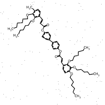 CCCCCCOc1ccc(/C=C/C(=O)Oc2ccc(-c3ccc(OC(=O)/C=C/c4ccc(C)c(OCCCCCC)c4OCCCCCC)cc3)cc2)c(OCCCCCC)c1OCCCCCC